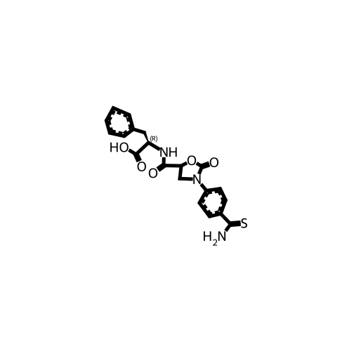 NC(=S)c1ccc(N2CC(C(=O)N[C@H](Cc3ccccc3)C(=O)O)OC2=O)cc1